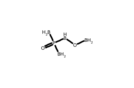 BOBP(B)(B)=O